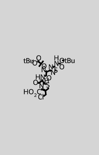 CC(C)(C)OC(=O)Nc1nc(C(=NOC(C)(C)C(=O)OC(C)(C)C)C(=O)N[C@@H]2C(=O)N3C(C(=O)O)=C(CCl)CS[C@H]23)ns1